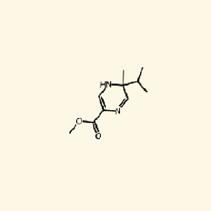 COC(=O)C1=CNC(C)(C(C)C)C=N1